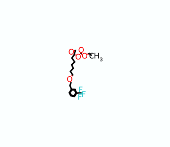 CCOC(=O)OC1(CCCCCCOCCc2cccc(C(F)(F)F)c2)CO1